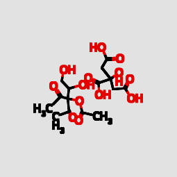 CC(=O)OC(C(C)=O)(C(C)=O)C(O)CO.O=C(O)CC(O)(CC(=O)O)C(=O)O